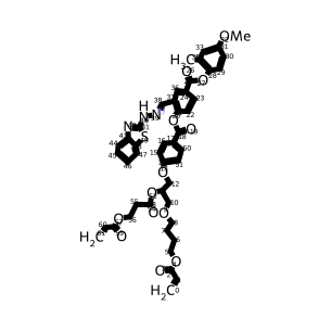 C=CC(=O)OCCCCOCC(COc1ccc(C(=O)Oc2ccc(C(=O)Oc3ccc(OC)cc3C)cc2/C=N/Nc2nc3ccccc3s2)cc1)OC(=O)CCOC(=O)C=C